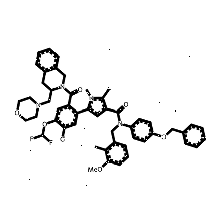 COc1cccc(CN(C(=O)c2cc(-c3cc(Cl)c(OC(F)F)cc3C(=O)N3Cc4ccccc4CC3CN3CCOCC3)n(C)c2C)c2ccc(OCc3ccccc3)cc2)c1C